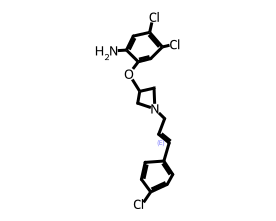 Nc1cc(Cl)c(Cl)cc1OC1CN(C/C=C/c2ccc(Cl)cc2)C1